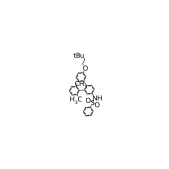 Cc1cccc(C)c1-c1cc(NS(=O)(=O)c2ccccc2)ccc1-c1cccc(OCCC(C)(C)C)c1